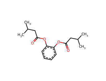 CC(C)CC(=O)Oc1ccccc1OC(=O)CC(C)C